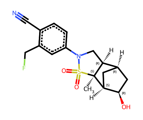 C[C@@]12[C@@H](CN(c3ccc(C#N)c(CF)c3)S1(=O)=O)[C@H]1C[C@@H](O)[C@@H]2C1